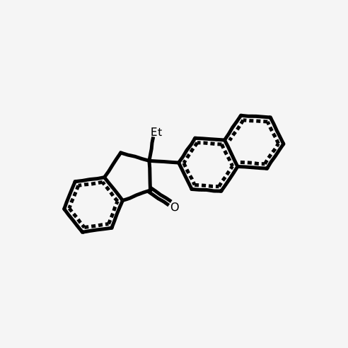 CCC1(c2ccc3ccccc3c2)Cc2ccccc2C1=O